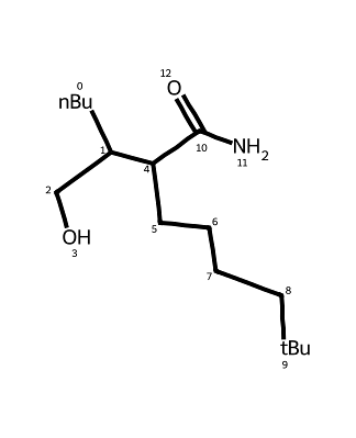 CCCCC(CO)C(CCCCC(C)(C)C)C(N)=O